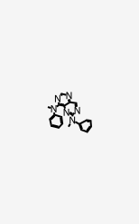 CN(c1ccccc1)c1ncc2ncnc(N(C)c3ccccc3)c2n1